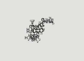 BC(B)(B)NC(=O)/C(N)=C(/C=C(\N)NC(=O)C1CC1)Nc1cccc(-c2ncc(C(=O)NCC3CCN(C)C3)s2)c1OC